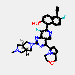 C#Cc1c(F)ccc2c(-c3ncc4c(-c5ccc6n5CCOC6)nc(N5C[C@H]6CN(C)C[C@H]6C5)nc4c3F)c(O)ccc12